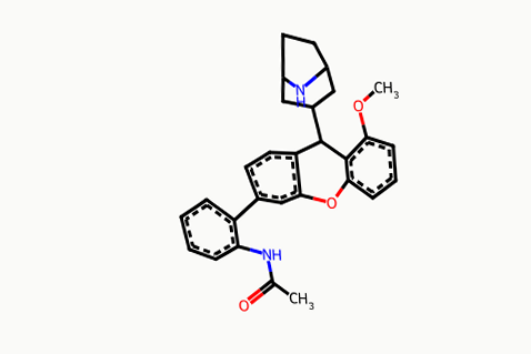 COc1cccc2c1C(C1CC3CCC(C1)N3)c1ccc(-c3ccccc3NC(C)=O)cc1O2